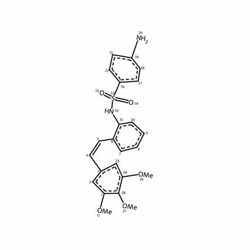 COc1cc(/C=C\c2ccccc2NS(=O)(=O)c2ccc(N)cc2)cc(OC)c1OC